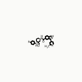 Cc1cc(-c2n[nH]c3ccc(C(=O)NN4CCCC(CO)(Oc5ccc(F)cc5)C4)cc23)ccn1